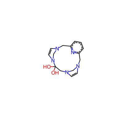 OC1(O)CN2C=CN(Cc3cccc(n3)CN3C=CN1C3)C2